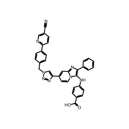 N#Cc1ccc(-c2ccc(Cn3cc(-c4ccn5c(Nc6ccc(C(=O)O)cc6)c(-c6ccccc6)nc5c4)nn3)cc2)nc1